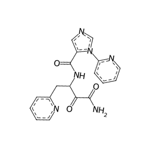 NC(=O)C(=O)C(Cc1ccccn1)NC(=O)c1cncn1-c1ccccn1